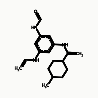 C=CNc1cc(NC=O)cc(NC(=C)C2CCC(C)CC2)c1